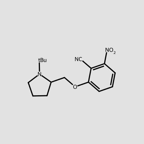 CC(C)(C)N1CCCC1COc1cccc([N+](=O)[O-])c1C#N